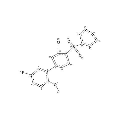 COc1ccc(F)cc1-c1ccc(S(=O)(=O)c2ccccc2)c(Cl)c1